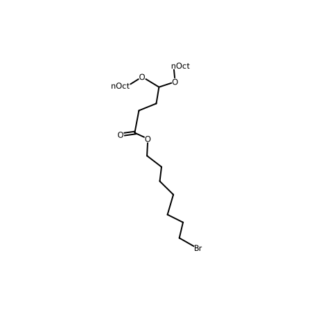 CCCCCCCCOC(CCC(=O)OCCCCCCCBr)OCCCCCCCC